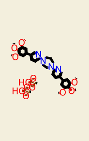 COc1cc(-c2ccc(N3CCCN(c4ccc(-c5cc(OC)c(OC)c(OC)c5)cn4)CC3)nc2)cc(OC)c1OC.CS(=O)(=O)O.CS(=O)(=O)O